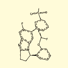 CS(=O)(=O)c1cccc(-c2cc3c(cc2F)nc2n3[C@@H](c3ccccc3OC(F)F)CC2)c1